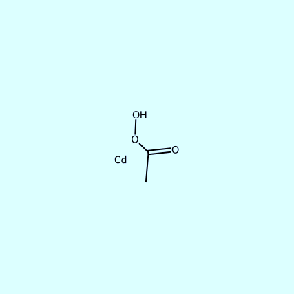 CC(=O)OO.[Cd]